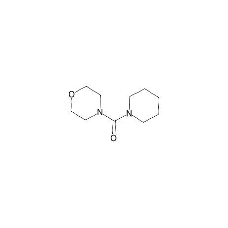 O=C(N1CCCCC1)N1CCOCC1